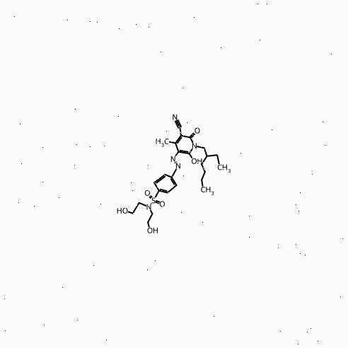 CCCCC(CC)Cn1c(O)c(/N=N/c2ccc(S(=O)(=O)N(CCO)CCO)cc2)c(C)c(C#N)c1=O